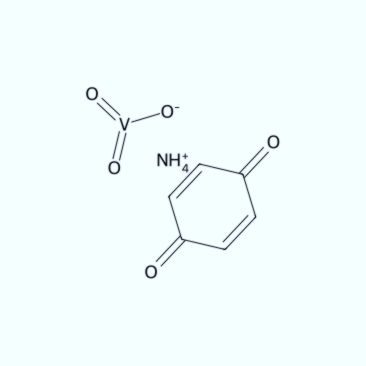 O=C1C=CC(=O)C=C1.[NH4+].[O]=[V](=[O])[O-]